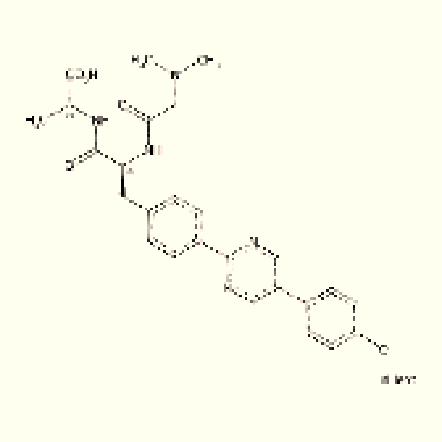 CCCCCCCOc1ccc(-c2cnc(-c3ccc(C[C@H](NC(=O)CN(C)C)C(=O)N[C@H](C)C(=O)O)cc3)nc2)cc1